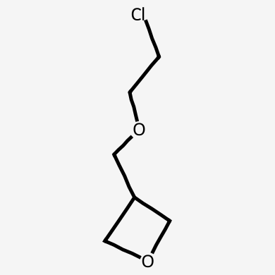 ClCCOCC1COC1